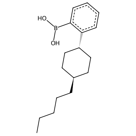 CCCCC[C@H]1CC[C@H](c2ccccc2B(O)O)CC1